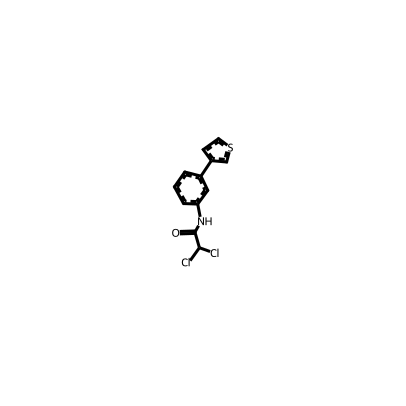 O=C(Nc1cccc(-c2ccsc2)c1)C(Cl)Cl